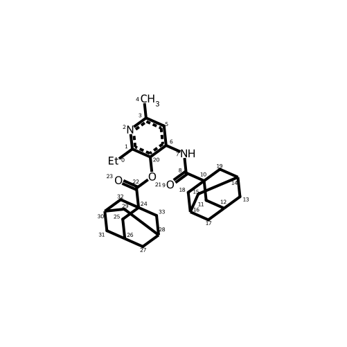 CCc1nc(C)cc(NC(=O)C23CC4CC(CC(C4)C2)C3)c1OC(=O)C12CC3CC(CC(C3)C1)C2